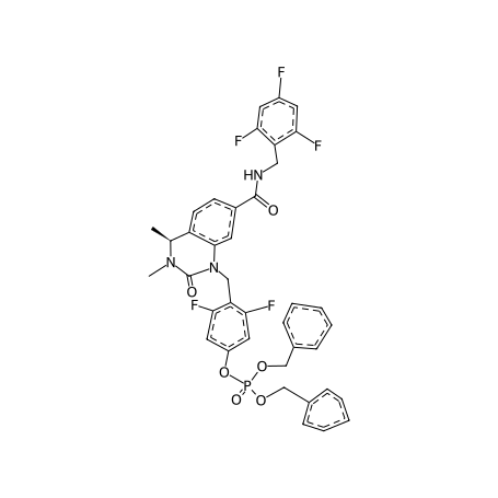 C[C@H]1c2ccc(C(=O)NCc3c(F)cc(F)cc3F)cc2N(Cc2c(F)cc(OP(=O)(OCc3ccccc3)OCc3ccccc3)cc2F)C(=O)N1C